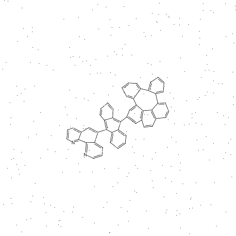 c1cnc2c(c1)cc(-c1c3ccccc3c(-c3cc4ccc5cccc6c7ccccc7c7ccccc7c(c3)c4c56)c3ccccc13)c1cccnc12